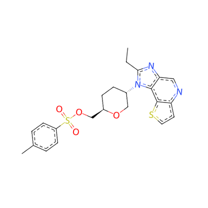 CCc1nc2cnc3ccsc3c2n1[C@H]1CC[C@H](COS(=O)(=O)c2ccc(C)cc2)OC1